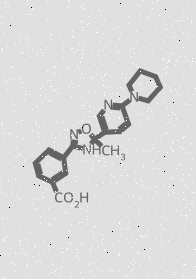 CC1(c2ccc(N3CCCCC3)nc2)NC(c2cccc(C(=O)O)c2)=NO1